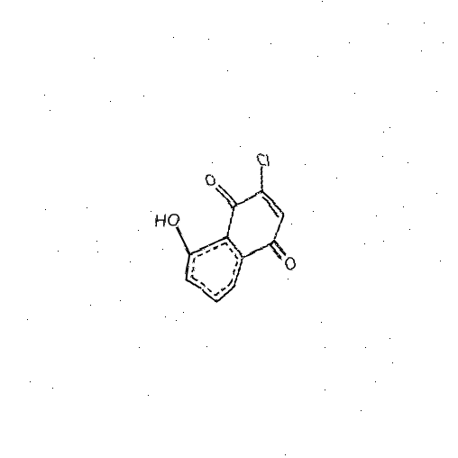 O=C1C=C(Cl)C(=O)c2c(O)cccc21